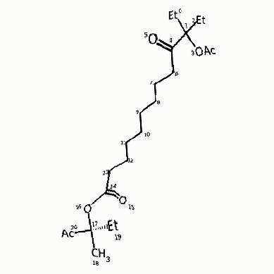 CCC(CC)(OC(C)=O)C(=O)CCCCCCCCC(=O)O[C@](C)(CC)C(C)=O